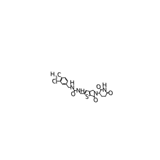 Cc1ccc(CNC(=O)NCc2cc3c(s2)C(=O)N(C2CCC(=O)NC2=O)C3)cc1Cl